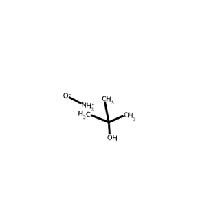 CC(C)(C)O.[NH3+][O-]